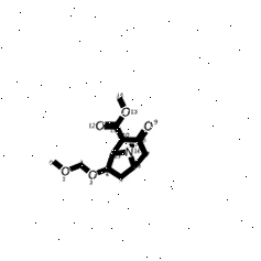 COCOC1CC2CC(=O)C(C(=O)OC)C1N2C